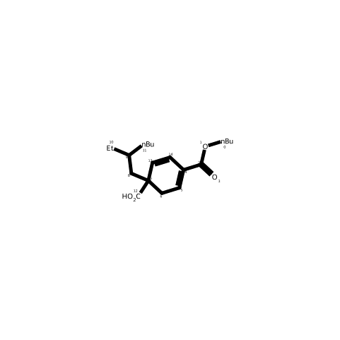 CCCCOC(=O)C1=CCC(CC(CC)CCCC)(C(=O)O)C=C1